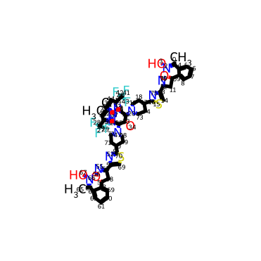 CC(=NO)c1ccccc1C1CC(c2csc(C3CCN(C(Cn4nc(C(F)(F)F)cc4C)C(=O)C(Cn4nc(C(F)(F)F)cc4C)N4CCC(c5nc(C6=NOC(c7ccccc7C(C)=NO)C6)cs5)CC4)CC3)n2)=NO1